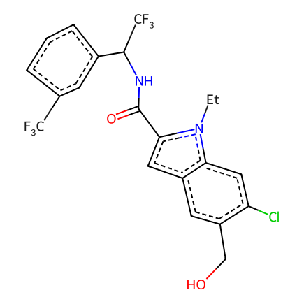 CCn1c(C(=O)NC(c2cccc(C(F)(F)F)c2)C(F)(F)F)cc2cc(CO)c(Cl)cc21